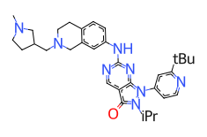 CC(C)n1c(=O)c2cnc(Nc3ccc4c(c3)CN(CC3CCN(C)C3)CC4)nc2n1-c1ccnc(C(C)(C)C)c1